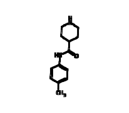 Cc1ccc(NC(=O)C2CCNCC2)cc1